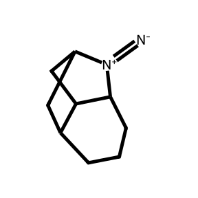 [N-]=[N+]1C2C[C]3C(CCCC31)C2